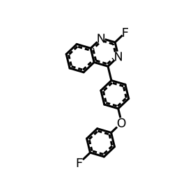 Fc1ccc(Oc2ccc(-c3nc(F)nc4ccccc34)cc2)cc1